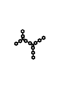 C1=CC(c2ccc(N(c3ccc(-c4ccccc4)cc3)c3ccc(-c4ccc(N(c5ccc(-c6ccc(-c7ccccc7)cc6)cc5)c5ccc(-c6ccc(-c7ccccc7)cc6)cc5)cc4)cc3)cc2)=CCC1